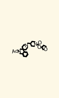 CC(=O)N1Cc2ccccc2C2(CCN(CC3CCN(C(=O)O[C@H]4CCOC4)CC3)CC2)C1